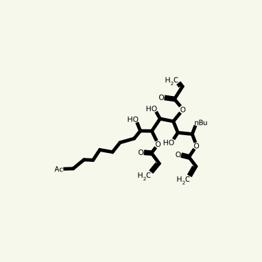 C=CC(=O)OC(CCCC)C(O)C(OC(=O)C=C)C(O)C(OC(=O)C=C)C(O)CCCCCCCC(C)=O